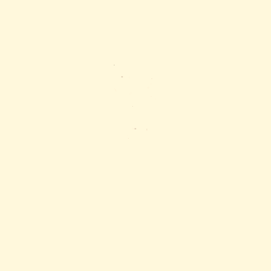 CCCCCCCCOC(=O)CSc1ccc(C(F)(F)F)cc1C(=O)OCC